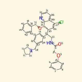 O=C(COc1ccccc1)NCC(c1cccc(CN2CCCC2)c1)c1cc(Cl)c2cccnc2c1OCc1ccccc1